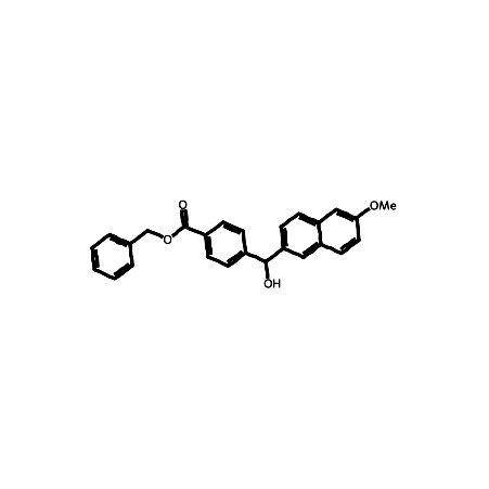 COc1ccc2cc(C(O)c3ccc(C(=O)OCc4ccccc4)cc3)ccc2c1